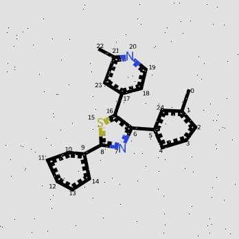 Cc1cccc(-c2nc(-c3ccccc3)sc2-c2ccnc(C)c2)c1